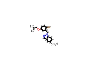 CCC(CC)COc1ccc(Br)c(Cn2ncc3cc(C(=O)O)ccc32)c1